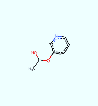 CC(O)Oc1[c]nccc1